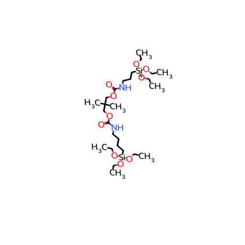 CCO[Si](CCCCNC(=O)OCC(C)(C)COC(=O)NCCC[Si](OCC)(OCC)OCC)(OCC)OCC